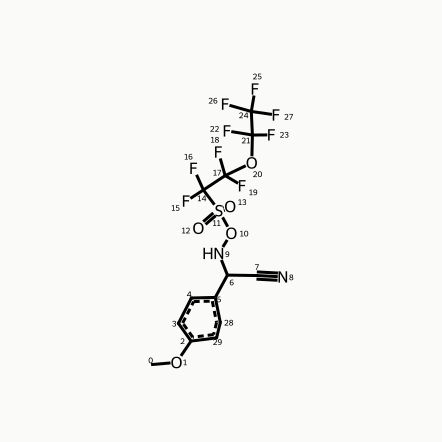 COc1ccc(C(C#N)NOS(=O)(=O)C(F)(F)C(F)(F)OC(F)(F)C(F)(F)F)cc1